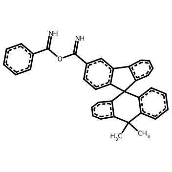 CC1(C)c2ccccc2C2(c3ccccc3-c3cc(C(=N)OC(=N)c4ccccc4)ccc32)c2ccccc21